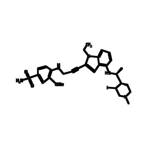 COc1cc(S(N)(=O)=O)ccc1NCC#Cc1cc2c(N[C@@H](C)[C@H]3CCN(C)CC3I)cccc2n1CC(F)(F)F